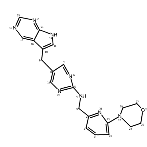 c1cc(CNc2ncc(Cc3c[nH]c4ncncc34)cn2)nc(N2CCOCC2)c1